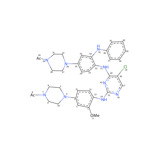 COc1cc(N2CCN(C(C)=O)CC2)ccc1Nc1ncc(Cl)c(Nc2ccc(N3CCN(C(C)=O)CC3)cc2Nc2ccccc2)n1